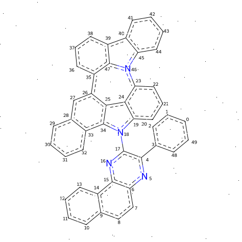 c1ccc(-c2nc3ccc4ccccc4c3nc2-n2c3cccc4c3c3c(cc5ccccc5c32)c2cccc3c5ccccc5n4c23)cc1